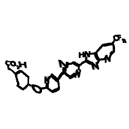 O=C(O)C[C@H]1CC[C@H](Oc2ccc(-c3cnc(-c4nc5ncc(C(F)(F)F)cc5[nH]4)cn3)cn2)CC1